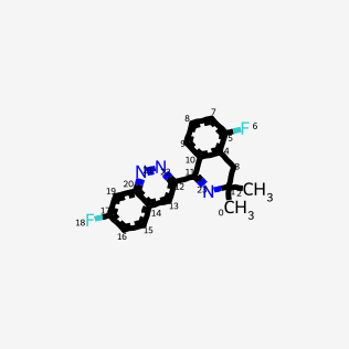 CC1(C)Cc2c(F)cccc2C(c2cc3ccc(F)cc3nn2)=N1